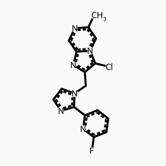 Cc1cn2c(Cl)c(Cn3ccnc3-c3cccc(F)n3)nc2cn1